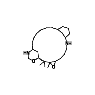 CC12CC(CCCCCCC3CCCC(C3)NCCCC3OC3(C)C1(C)C)NCO2